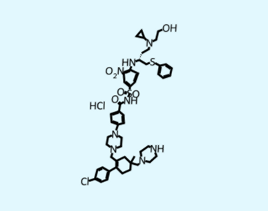 CC1(CN2CCNCC2)CCC(c2ccc(Cl)cc2)=C(CN2CCN(c3ccc(C(=O)NS(=O)(=O)c4ccc(N[C@H](CCN(CCO)C5CC5)CSc5ccccc5)c([N+](=O)[O-])c4)cc3)CC2)C1.Cl